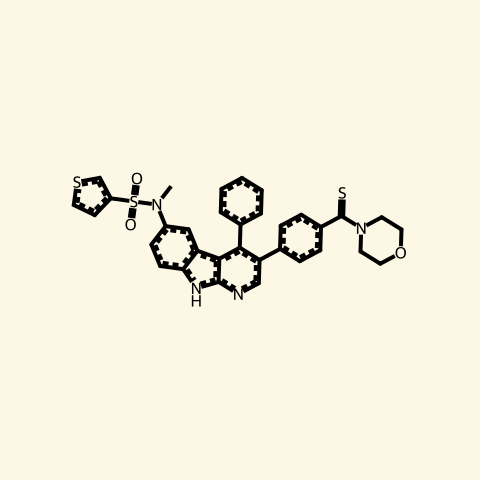 CN(c1ccc2[nH]c3ncc(-c4ccc(C(=S)N5CCOCC5)cc4)c(-c4ccccc4)c3c2c1)S(=O)(=O)c1ccsc1